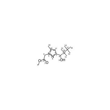 COC(=O)Cn1nc(C(O)[Si](C)(C)C(C)(C)C)cc1C